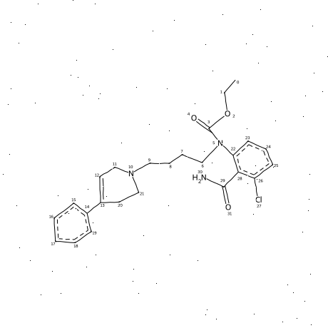 CCOC(=O)N(CCCCN1CC=C(c2ccccc2)CC1)c1cccc(Cl)c1C(N)=O